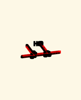 CCCCCCCCC=CCCCCCCCC(=O)OCC(COC(=O)CCCCCCCC=CCCCCCCCC(=O)OC(COC(=O)CCCCCCCC=CCCCCCCCC)COC(=O)CCCCCCCC=CCCCCCCCC)OC(=O)CCCCCCCC=CCCCCCCCC(=O)O